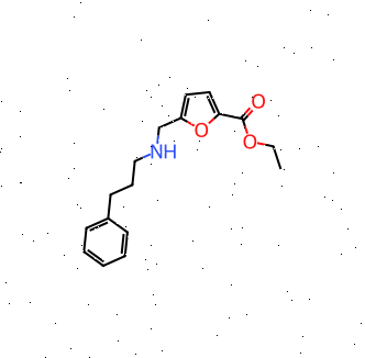 CCOC(=O)c1ccc(CNCCCc2ccccc2)o1